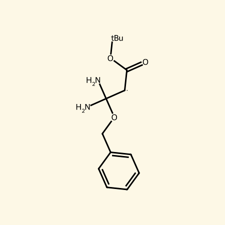 CC(C)(C)OC(=O)[CH]C(N)(N)OCc1ccccc1